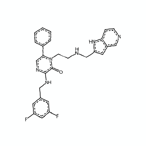 O=c1c(NCc2cc(F)cc(F)c2)ncc(-c2ccccc2)n1CCNCc1cc2cnccc2[nH]1